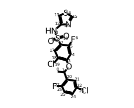 CC(Oc1cc(F)c(S(=O)(=O)Nc2cscn2)cc1Cl)c1cc(Cl)ccc1F